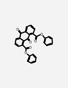 O=C(Oc1ccccc1)c1cccc2c1C(=O)c1c(C(=O)Oc3ccccc3)cccc1C2=O